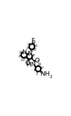 Nc1ccc(NC(=O)c2cn(-c3ccc(F)cc3)c3ncccc3c2=O)cc1